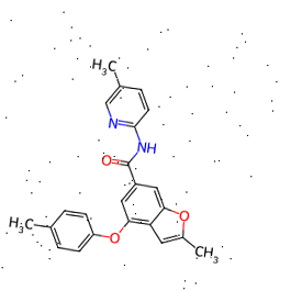 Cc1ccc(Oc2cc(C(=O)Nc3ccc(C)cn3)cc3oc(C)cc23)cc1